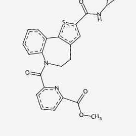 COC(=O)c1cccc(C(=O)N2CCc3cc(C(=O)NC4CC4)sc3-c3ccccc32)n1